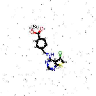 CC(C)(C)OC(=O)c1ccc(CNc2ncnc3scc(Cl)c23)cc1